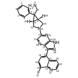 NCC1(c2ccccc2)[C@@H]2CN(c3cnc4c(-c5ccc(F)c6ncccc56)n[nH]c4n3)C[C@@H]21